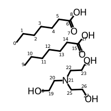 CCCCCCC(=O)O.CCCCCCC(=O)O.OCCN(CCO)CCO